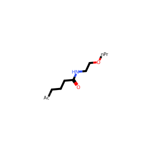 CCCOCCNC(=O)CCCC(C)=O